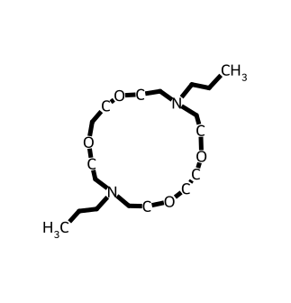 CCCN1CCOCCOCCN(CCC)CCOCCOCC1